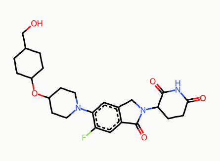 O=C1CCC(N2Cc3cc(N4CCC(OC5CCC(CO)CC5)CC4)c(F)cc3C2=O)C(=O)N1